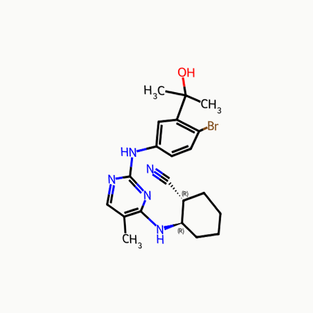 Cc1cnc(Nc2ccc(Br)c(C(C)(C)O)c2)nc1N[C@@H]1CCCC[C@H]1C#N